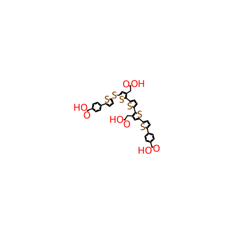 O=C(O)Cc1cc(Sc2ccc(-c3ccc(C(=O)O)cc3)s2)sc1-c1ccc(-c2sc(-c3ccc(-c4ccc(C(=O)O)cc4)s3)cc2CC(=O)O)s1